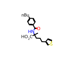 CCCCc1ccc(C(=O)NC(C)(CCCc2ccsc2)C(=O)O)cc1